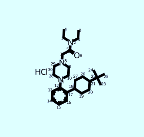 CCN(CC)C(=O)CN1CCN(c2ccccc2C2CCC(C(C)(C)C)CC2)CC1.Cl